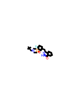 CC(C)(C)CN1CCP(=O)(c2cc(Cc3n[nH]c(=O)c4ccccc34)ccc2F)CC1